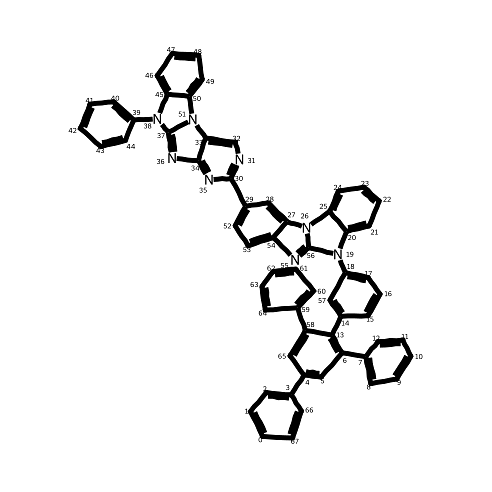 c1ccc(-c2cc(-c3ccccc3)c(-c3cccc(-n4c5ccccc5n5c6cc(-c7ncc8c(n7)nc7n(-c9ccccc9)c9ccccc9n87)ccc6nc45)c3)c(-c3ccccc3)c2)cc1